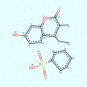 CCc1c(C)c(=O)oc2cc(O)ccc12.O=S(=O)(O)c1ccccc1